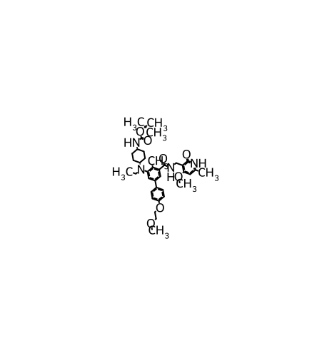 CCN(c1cc(-c2ccc(OCCOC)cc2)cc(C(=O)NCc2c(OC)cc(C)[nH]c2=O)c1C)[C@H]1CC[C@H](NC(=O)OC(C)(C)C)CC1